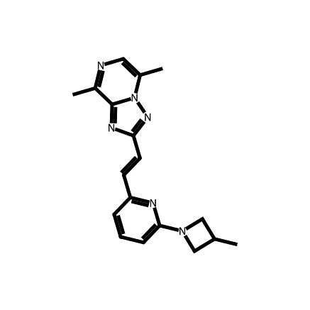 Cc1ncc(C)n2nc(C=Cc3cccc(N4CC(C)C4)n3)nc12